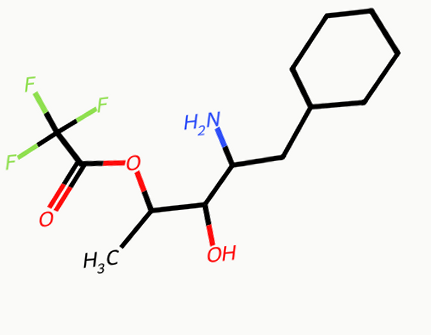 CC(OC(=O)C(F)(F)F)C(O)C(N)CC1CCCCC1